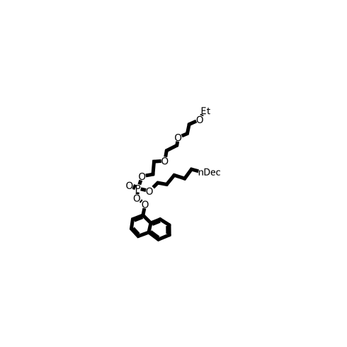 CCCCCCCCCCCCCCCOP(=O)(OCCOCCOCCOCC)OOc1cccc2ccccc12